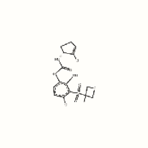 O=C(Nc1ccc(Cl)c(S(=O)(=O)C2(F)COC2)c1O)N[C@@H]1CCC=C1Cl